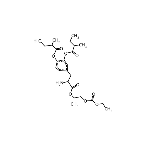 CCOC(=O)OC[C@H](C)OC(=O)[C@@H](N)Cc1ccc(OC(=O)C(C)CC)c(OC(=O)C(C)CC)c1